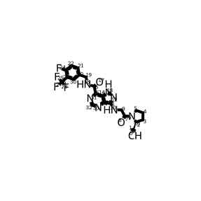 C#C[C@@H]1CCCN1C(=O)CNc1n[nH]c2c(C(=O)NCc3ccc(F)c(C(F)(F)F)c3)ncnc12